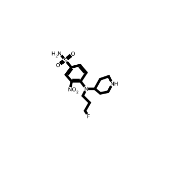 NS(=O)(=O)c1ccc(N(CCCF)C2CCNCC2)c([N+](=O)[O-])c1